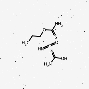 CCCOC(N)=S.N=C=O.NC(O)=S